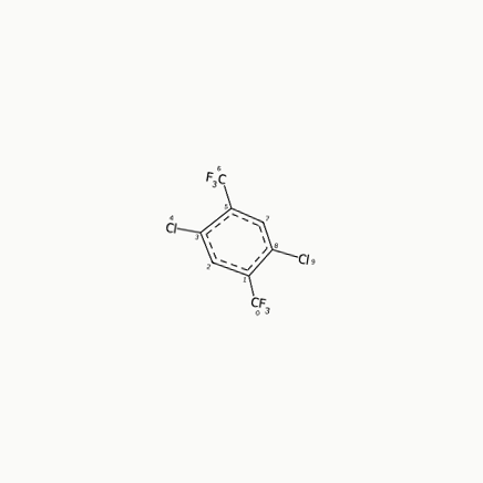 FC(F)(F)c1cc(Cl)c(C(F)(F)F)cc1Cl